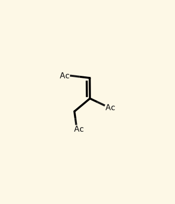 CC(=O)/C=C(\CC(C)=O)C(C)=O